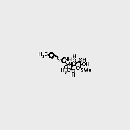 CS[C@H]1O[C@H]([C@H](NC(=O)[C@@H]2C[C@H](SCc3ccc(C)cc3)CN2)[C@@H](C)O)[C@H](O)[C@H](O)[C@H]1O